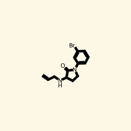 C=CCNC1CCN(c2cccc(Br)c2)C1=O